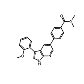 COc1ccccc1-c1c[nH]c2ncc(-c3ccc(C(=O)N(C)C)cc3)cc12